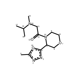 Cc1nnc(C2COCCN2C(=O)CN(C)C(C)C)o1